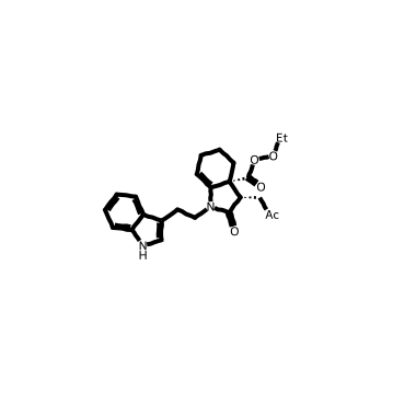 CCOOC(=O)[C@@]12CCCC=C1N(CCc1c[nH]c3ccccc13)C(=O)[C@H]2CC(C)=O